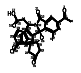 CC(=O)c1cc(F)c2c(c1)C(=O)N(C(CC(=O)O)c1ccc(Cl)cc1)[C@@]2(O[C@H]1CCC(=O)C1)c1ccc(Cl)cc1